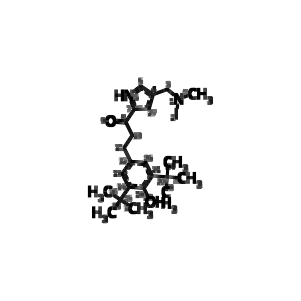 CN(I)Cc1c[nH]c(C(=O)CCc2cc(C(C)(C)C)c(O)c(C(C)(C)C)c2)c1